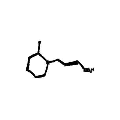 O=C(O)C=CCN1CCCCC1F